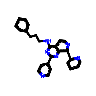 c1ccc(CCCNc2nc(-c3ccncc3)nc3c(-c4ccccn4)nccc23)cc1